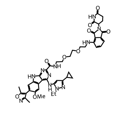 CCn1nc(C2CC2)cc1Nc1nc(C(=O)NCCOCCOCCNc2cccc3c2C(=O)N(C2CCC(=O)NC2=O)C3=O)nc2[nH]c3cc(-c4c(C)noc4C)c(OC)cc3c12